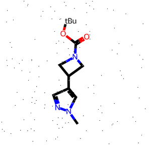 Cn1cc(C2CN(C(=O)OC(C)(C)C)C2)cn1